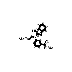 COCCN(c1cccc(C(=O)OC)c1)c1nc2ccccc2[nH]1